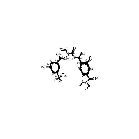 CCN(CC)C(=O)c1ccc(C(C)NC(=O)N(CC)NC(=O)c2cc(F)cc(C(F)(F)F)c2)c(F)c1